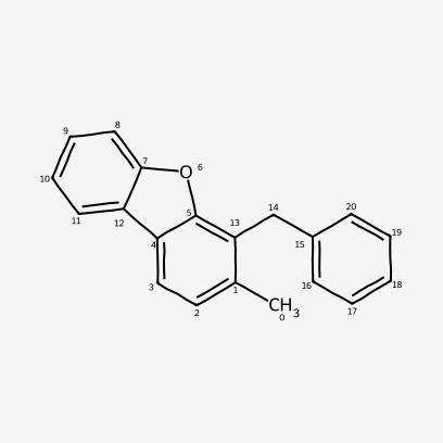 Cc1ccc2c(oc3ccccc32)c1Cc1ccccc1